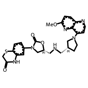 COc1ccc2nccc(N3CC[C@H](CNC[C@@H]4CN(c5ccc6c(c5)NC(=O)CS6)C(=O)O4)C3)c2n1